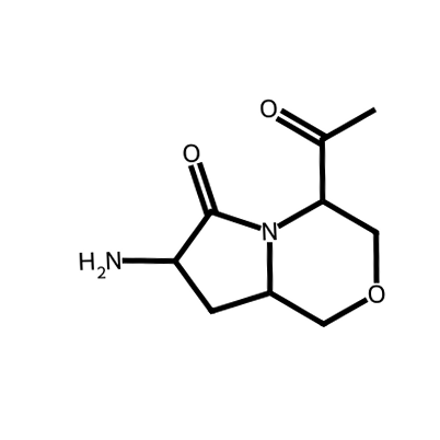 CC(=O)C1COCC2CC(N)C(=O)N21